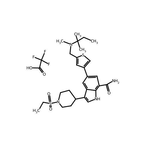 CCC(C)(C)N(C)Cc1cc(-c2cc(C(N)=O)c3[nH]cc(C4CCN(S(=O)(=O)CC)CC4)c3c2)cs1.O=C(O)C(F)(F)F